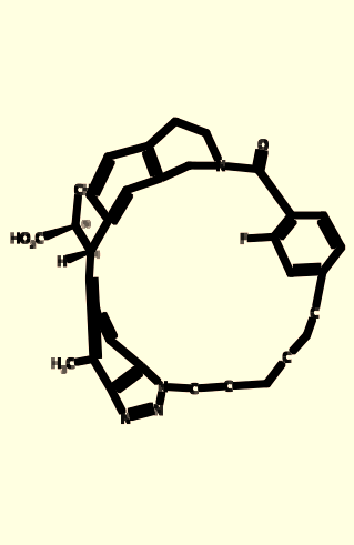 Cc1c2ccc3c1nnn3CCCCCCc1ccc(c(F)c1)C(=O)N1CCc3ccc(cc3C1)[C@H]2[C@H](C)C(=O)O